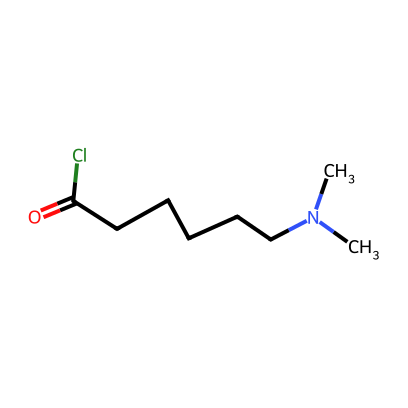 CN(C)CCCCCC(=O)Cl